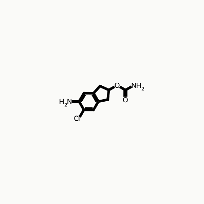 NC(=O)OC1Cc2cc(N)c(Cl)cc2C1